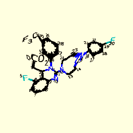 O=C(O)CC1c2c(F)cccc2N=C(N2CCN(c3ccc(F)cc3)CC2)N1c1cccc(C(F)(F)F)c1